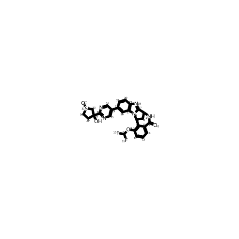 O=C1NC2CC(c3c(OC(F)F)cccc31)n1c2nc2ccc(-c3cnc(C4(O)CC[S+]([O-])C4)nc3)cc21